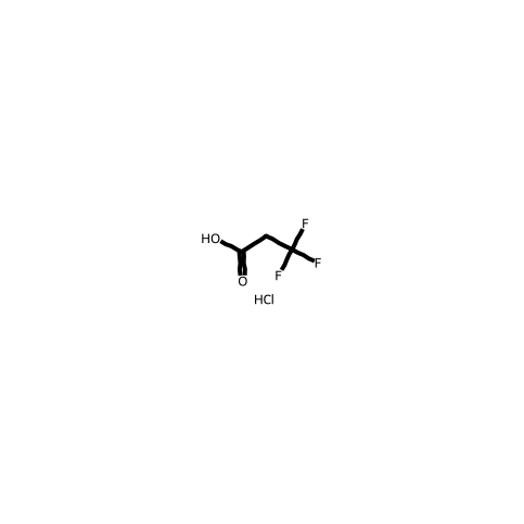 Cl.O=C(O)CC(F)(F)F